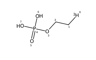 [2H]CCOP(=O)(O)O